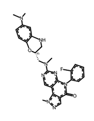 CN(C)c1ccc2c(c1)NC[C@H](CN(C)c1ncc3c4c(cnn4C)c(=O)n(-c4ccccc4F)c3n1)O2